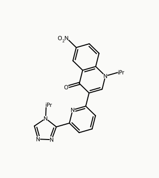 CC(C)n1cnnc1-c1cccc(-c2cn(C(C)C)c3ccc([N+](=O)[O-])cc3c2=O)n1